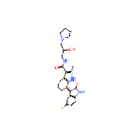 Cc1[nH]c2c(c1C(=O)NCC(O)CN1CCCC1)CCC/C2=C1/C(=O)Nc2ccc(F)cc21